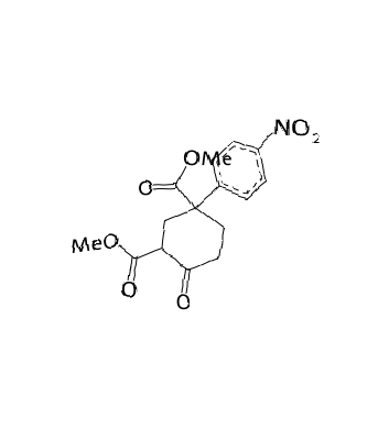 COC(=O)C1CC(C(=O)OC)(c2ccc([N+](=O)[O-])cc2)CCC1=O